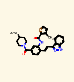 CC(=O)NC1CCN(C(=O)c2ccc(/C=C/c3n[nH]c4ccccc34)c(NC(=O)c3sccc3C)c2)CC1